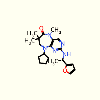 C[C@@H](Nc1ncc2c(n1)N(C1CCCC1)CC(C)(C)C(=O)N2C)c1ccco1